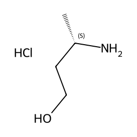 C[C@H](N)CCO.Cl